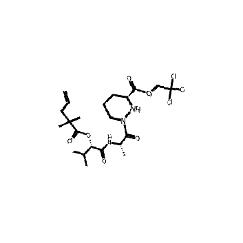 C=CCC(C)(C)C(=O)O[C@H](C(=O)N[C@@H](C)C(=O)N1CCC[C@@H](C(=O)OCC(Cl)(Cl)Cl)N1)C(C)C